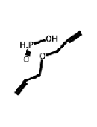 C=CCOCC=C.O=[PH2]O